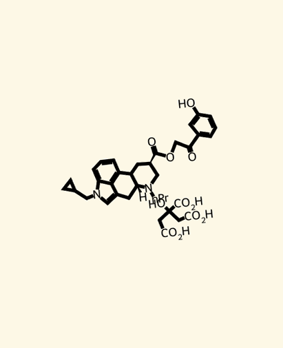 CCCN1C[C@H](C(=O)OCC(=O)c2cccc(O)c2)CC2c3cccc4c3c(cn4CC3CC3)C[C@H]21.O=C(O)CC(O)(CC(=O)O)C(=O)O